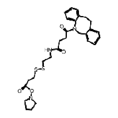 O=C(CCC(=O)N1Cc2ccccc2CCc2ccccc21)NCCSSCCC(=O)ON1CCCC1